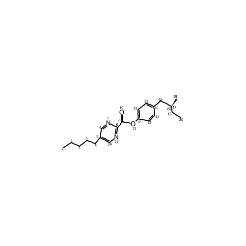 CCCCCc1cnc(C(=O)Oc2ccc(C[C@@H](C)CC)cc2)nc1